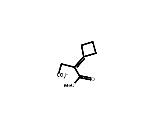 COC(=O)C(CC(=O)O)=C1CCC1